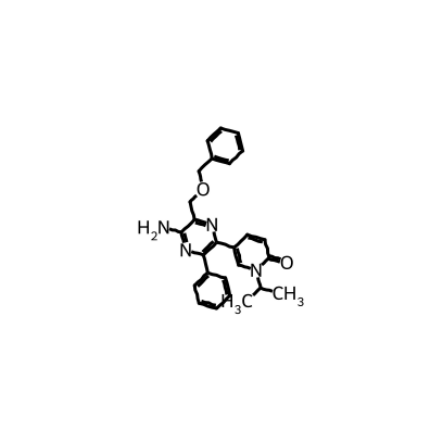 CC(C)n1cc(-c2nc(COCc3ccccc3)c(N)nc2-c2ccccc2)ccc1=O